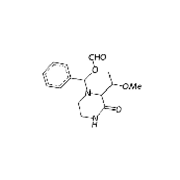 COC(C)C1C(=O)NCCN1C(OC=O)c1ccccc1